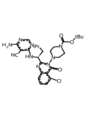 CC(C)C[C@H](Nc1ncnc(N)c1C#N)c1nc2cccc(Cl)c2c(=O)n1N1CCN(C(=O)OC(C)(C)C)CC1